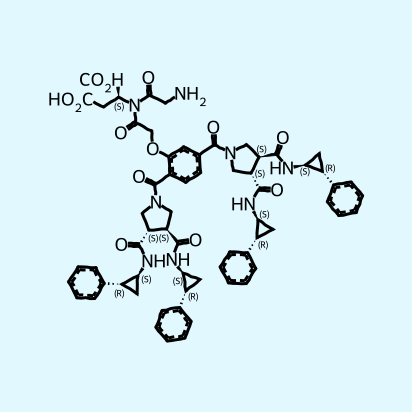 NCC(=O)N(C(=O)COc1cc(C(=O)N2C[C@@H](C(=O)N[C@H]3C[C@@H]3c3ccccc3)[C@H](C(=O)N[C@H]3C[C@@H]3c3ccccc3)C2)ccc1C(=O)N1C[C@@H](C(=O)N[C@H]2C[C@@H]2c2ccccc2)[C@H](C(=O)N[C@H]2C[C@@H]2c2ccccc2)C1)[C@@H](CC(=O)O)C(=O)O